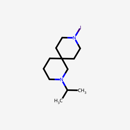 CC(C)N1CCCC2(CCN(I)CC2)C1